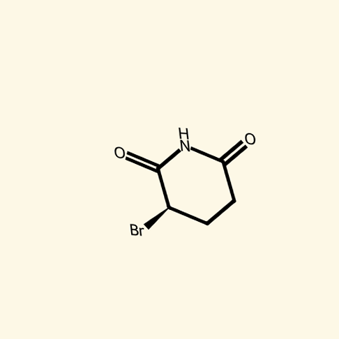 O=C1CC[C@@H](Br)C(=O)N1